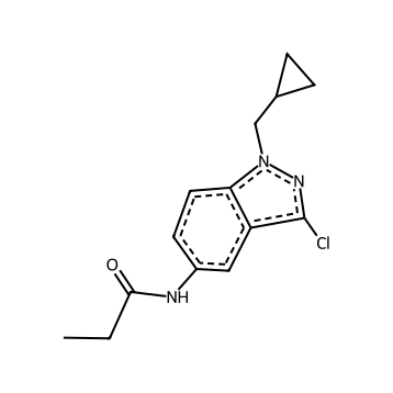 CCC(=O)Nc1ccc2c(c1)c(Cl)nn2CC1CC1